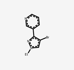 CCn1cc(Br)c(-c2cccnc2)n1